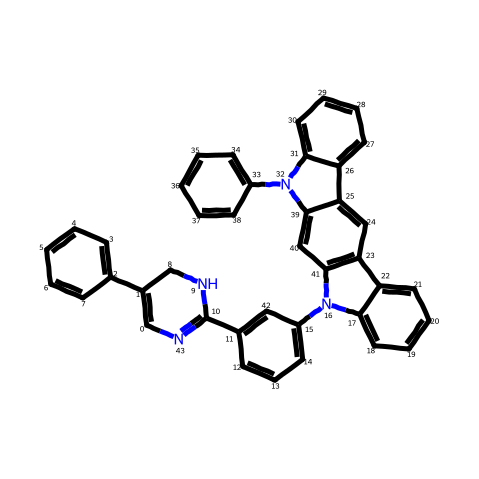 C1=C(c2ccccc2)CNC(c2cccc(-n3c4ccccc4c4cc5c6ccccc6n(-c6ccccc6)c5cc43)c2)=N1